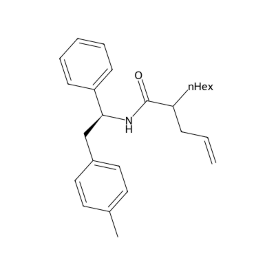 C=CCC(CCCCCC)C(=O)N[C@@H](Cc1ccc(C)cc1)c1ccccc1